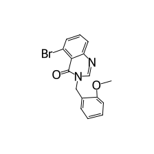 COc1ccccc1Cn1cnc2cccc(Br)c2c1=O